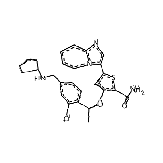 CC(Oc1cc(-c2cnc3ccccn23)sc1C(N)=O)c1ccc(CNC2CCCC2)cc1Cl